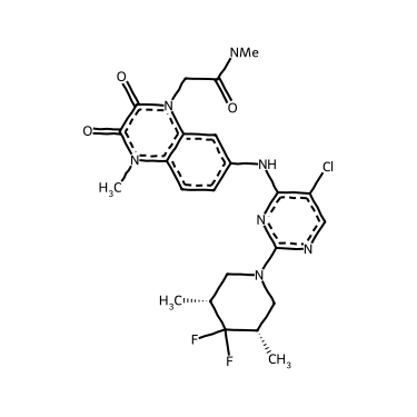 CNC(=O)Cn1c(=O)c(=O)n(C)c2ccc(Nc3nc(N4C[C@@H](C)C(F)(F)[C@@H](C)C4)ncc3Cl)cc21